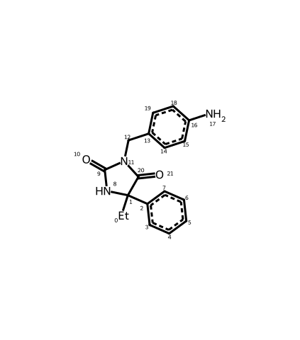 CCC1(c2ccccc2)NC(=O)N(Cc2ccc(N)cc2)C1=O